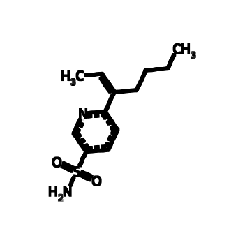 C/C=C(/CCCC)c1ccc(S(N)(=O)=O)cn1